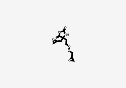 O=C1NC(=O)C(CCOOCC2CO2)(CC2CO2)N1